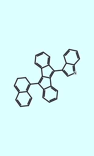 C1=CC2=NC=C(C3=C4C(=C(C5=c6ccccc6=CCC5)c5ccccc54)c4ccccc43)C2C=C1